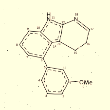 COc1cccc(-c2cccc3[nH]c4c(c23)CCC=N4)c1